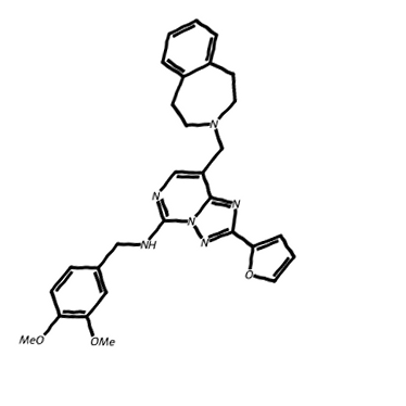 COc1ccc(CNc2ncc(CN3CCc4ccccc4CC3)c3nc(-c4ccco4)nn23)cc1OC